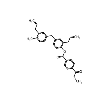 C=CCc1cc(Cc2ccc(OC(=O)c3ccc(C(=O)OC)cc3)c(CC=C)c2)ccc1C